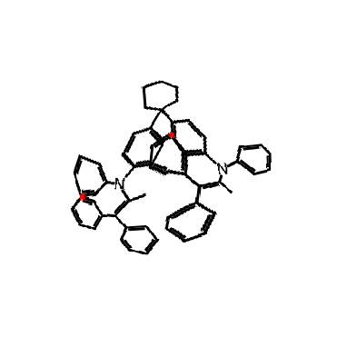 CC(=C(c1ccccc1)c1ccccc1)N(c1ccccc1)c1ccc(C2(c3ccc(N(C(C)=C(c4ccccc4)c4ccccc4)c4ccccc4)cc3)CCCCC2)cc1